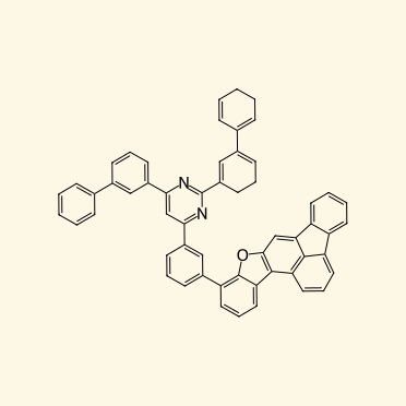 C1=CC(C2=CCCC(c3nc(-c4cccc(-c5ccccc5)c4)cc(-c4cccc(-c5cccc6c5oc5cc7c8c(cccc8c56)-c5ccccc5-7)c4)n3)=C2)=CCC1